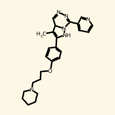 CC1=C(c2ccc(OCCCN3CCCCC3)cc2)NN2C(c3cccnc3)=NN=CC12